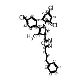 Cc1c(-c2nnc(CCCc3ccccc3)o2)nn(-c2ccc(Cl)cc2Cl)c1-c1ccc(Cl)cc1